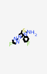 NC1=NC2(c3ccc(F)cc3)CN(c3ncc(F)cn3)CC2CS1